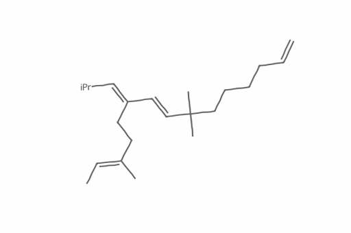 C=CCCCCC(C)(C)C=CC(=CC(C)C)CCC(C)=CC